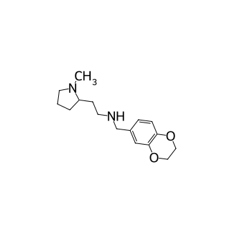 CN1CCCC1CCNCc1ccc2c(c1)OCCO2